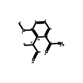 COc1cccc(C(N)=O)c1C(C)C=O